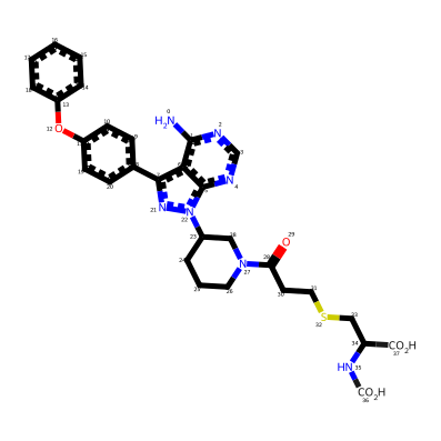 Nc1ncnc2c1c(-c1ccc(Oc3ccccc3)cc1)nn2C1CCCN(C(=O)CCSCC(NC(=O)O)C(=O)O)C1